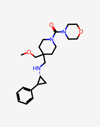 COCC1(CN[C@@H]2CC2c2ccccc2)CCN(C(=O)N2CCOCC2)CC1